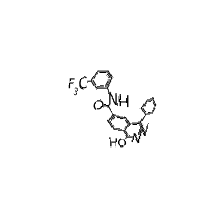 O=C(Nc1cccc(C(F)(F)F)c1)c1ccc2c(O)nnc(-c3ccccc3)c2c1